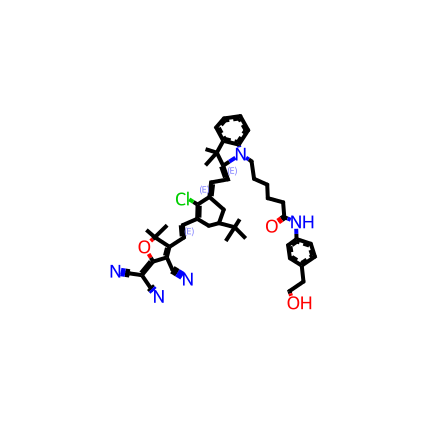 CC1(C)OC(=C(C#N)C#N)C(C#N)=C1/C=C/C1=C(Cl)C(=C/C=C2/N(CCCCCC(=O)Nc3ccc(CCO)cc3)c3ccccc3C2(C)C)/CC(C(C)(C)C)C1